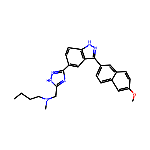 CCCCN(C)Cc1nc(-c2ccc3[nH]nc(-c4ccc5cc(OC)ccc5c4)c3c2)n[nH]1